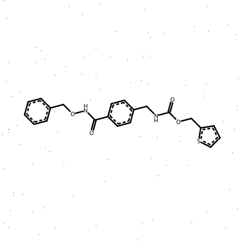 O=C(NCc1ccc(C(=O)NOCc2ccccc2)cc1)OCc1cccs1